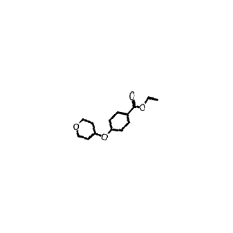 CCOC(=O)C1CCC(OC2CCOCC2)CC1